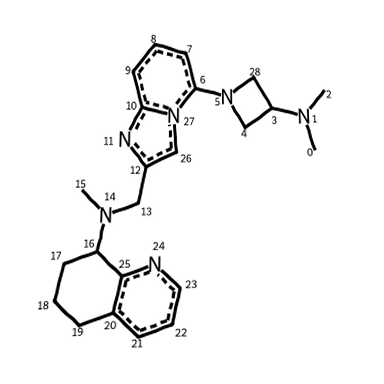 CN(C)C1CN(c2cccc3nc(CN(C)C4CCCc5cccnc54)cn23)C1